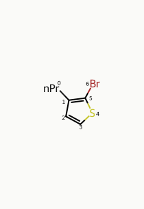 CCCc1ccsc1Br